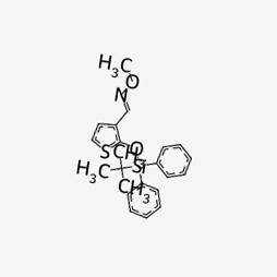 CON=Cc1ccsc1O[Si](c1ccccc1)(c1ccccc1)C(C)(C)C